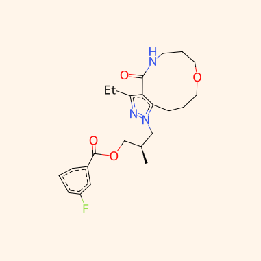 CCc1nn(C[C@@H](C)COC(=O)c2cccc(F)c2)c2c1C(=O)NCCCOCCC2